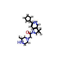 CC1CN(CC(=O)N2CC(C)(C)c3cnc(C4CCCC4)cc32)CCN1